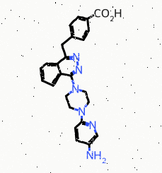 Nc1ccc(N2CCN(c3nnc(Cc4ccc(C(=O)O)cc4)c4ccccc34)CC2)nc1